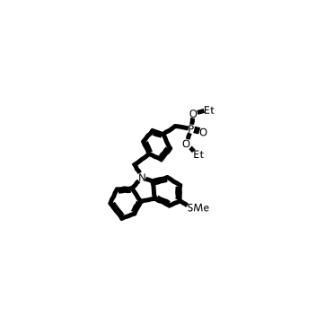 CCOP(=O)(Cc1ccc(Cn2c3ccccc3c3cc(SC)ccc32)cc1)OCC